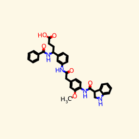 COc1cc(CC(=O)Nc2cccc(C(CCC(=O)O)NC(=O)c3ccccc3)c2)ccc1NC(=O)C1CNc2ccccc21